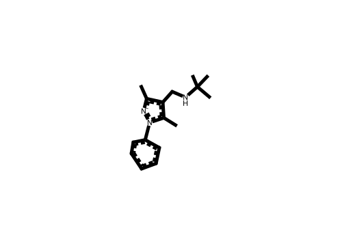 Cc1nn(-c2ccccc2)c(C)c1CNC(C)(C)C